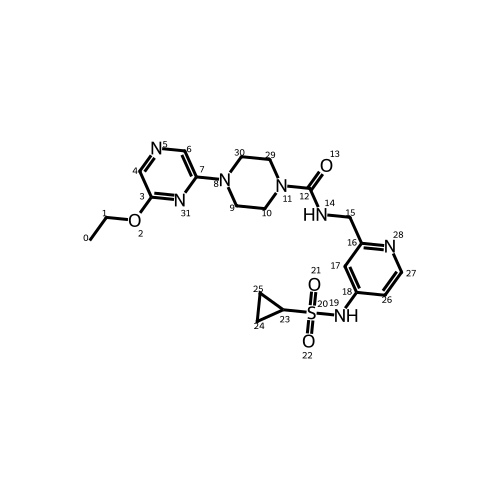 CCOc1cncc(N2CCN(C(=O)NCc3cc(NS(=O)(=O)C4CC4)ccn3)CC2)n1